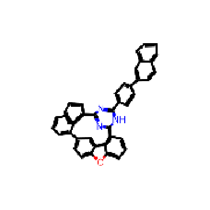 c1ccc(C2=NC(c3cccc4oc5ccc(-c6ccccc6)cc5c34)NC(c3ccc(-c4ccc5ccccc5c4)cc3)=N2)cc1